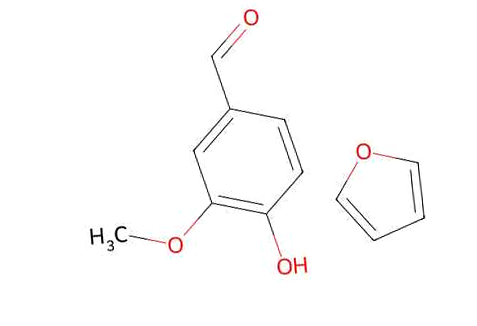 COc1cc(C=O)ccc1O.c1ccoc1